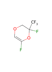 FC1=COCC(F)(C(F)(F)F)O1